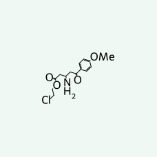 COc1ccc(C(=O)CC(N)CC(=O)OCCCl)cc1